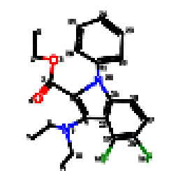 CCOC(=O)c1c(N(CC)CC)c2c(F)c(F)ccc2n1-c1ccccc1